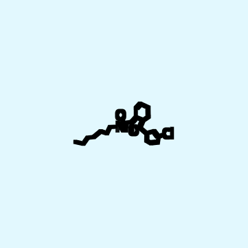 CCCCCCCNC(=O)c1oc(-c2cccc(Cl)c2)c2ccccc12